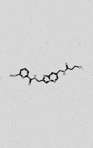 COc1cccc(C(=O)NCc2cn3ncc(CNC(=O)CCC(F)(F)F)cc3n2)n1